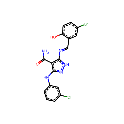 NC(=O)c1c(Nc2cccc(Cl)c2)n[nH]c1N=Cc1cc(Br)ccc1O